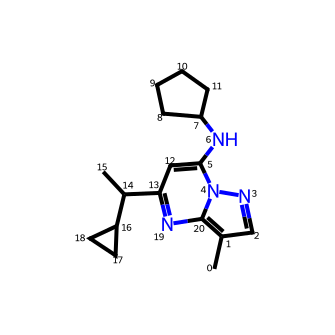 Cc1cnn2c(NC3CCCC3)cc(C(C)C3CC3)nc12